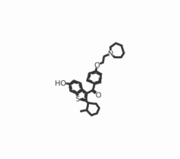 CC1CCCCC1c1sc2cc(O)ccc2c1C(=O)c1ccc(OCCN2CCCCCC2)cc1